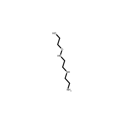 NCCNCCNOCCO